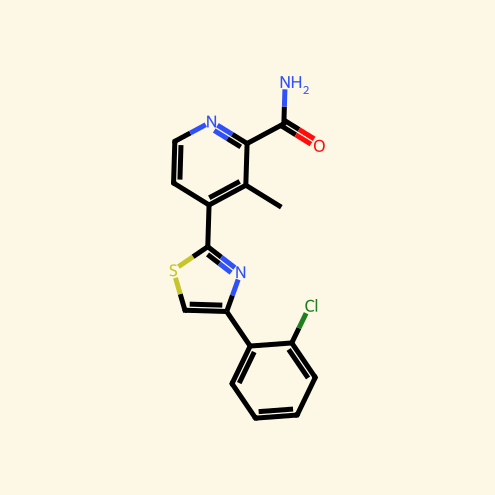 Cc1c(-c2nc(-c3ccccc3Cl)cs2)ccnc1C(N)=O